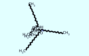 CCCCCCCCCCCCC/C=C/[C@@H](C(=O)CCCCCCCCCCCCCCC)[C@@H](COP(=O)(O)OCC[N+](C)(C)C)NC(=O)CCCCCCCCCCCCCCC